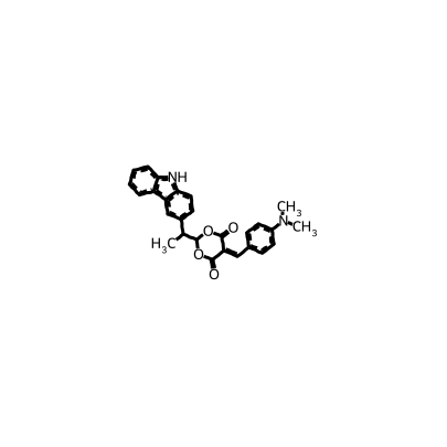 CC(c1ccc2[nH]c3ccccc3c2c1)C1OC(=O)C(=Cc2ccc(N(C)C)cc2)C(=O)O1